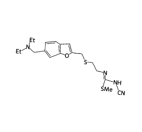 CCN(CC)Cc1ccc2cc(CSCC/N=C(/NC#N)SC)oc2c1